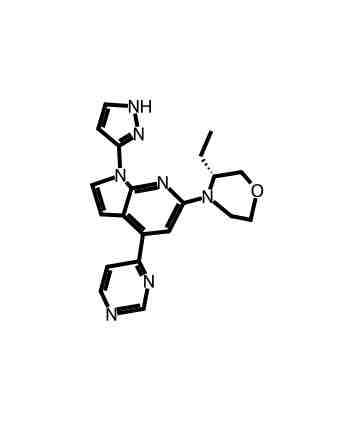 CC[C@@H]1COCCN1c1cc(-c2ccncn2)c2ccn(-c3cc[nH]n3)c2n1